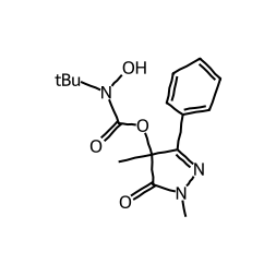 CN1N=C(c2ccccc2)C(C)(OC(=O)N(O)C(C)(C)C)C1=O